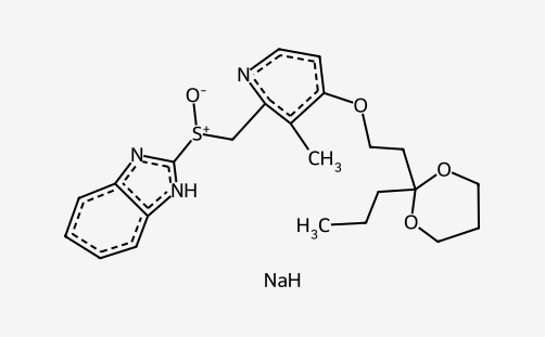 CCCC1(CCOc2ccnc(C[S+]([O-])c3nc4ccccc4[nH]3)c2C)OCCCO1.[NaH]